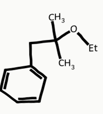 CCOC(C)(C)Cc1ccccc1